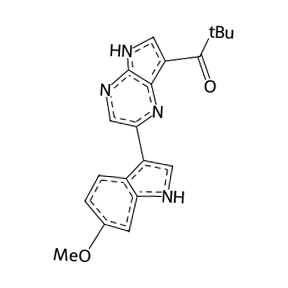 COc1ccc2c(-c3cnc4[nH]cc(C(=O)C(C)(C)C)c4n3)c[nH]c2c1